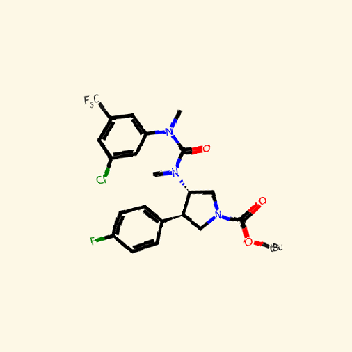 CN(C(=O)N(C)[C@@H]1CN(C(=O)OC(C)(C)C)C[C@H]1c1ccc(F)cc1)c1cc(Cl)cc(C(F)(F)F)c1